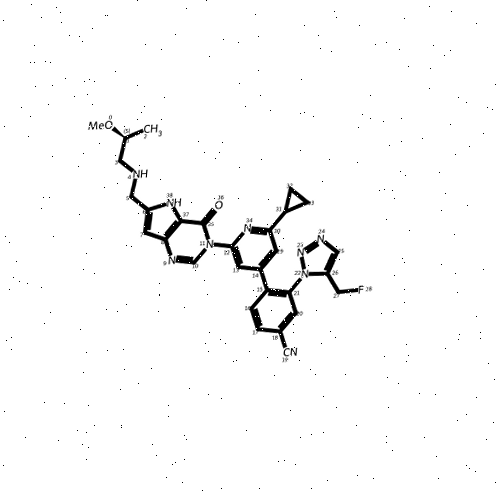 CO[C@@H](C)CNCc1cc2ncn(-c3cc(-c4ccc(C#N)cc4-n4nncc4CF)cc(C4CC4)n3)c(=O)c2[nH]1